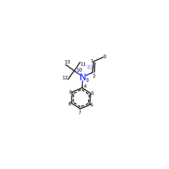 C/C=C/N(c1ccccc1)C(C)(C)C